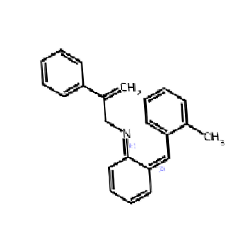 C=C(C/N=C1\C=CC=C\C1=C\c1ccccc1C)c1ccccc1